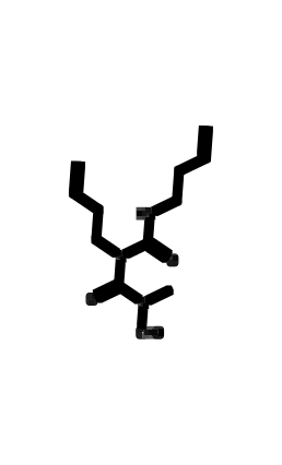 C=CCCNC(=O)N(CCC=C)C(=O)N(C)C=O